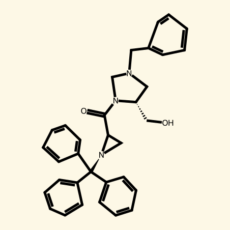 O=C(C1C[N@@]1C(c1ccccc1)(c1ccccc1)c1ccccc1)N1CN(Cc2ccccc2)C[C@@H]1CO